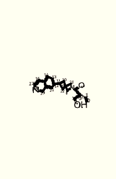 CC[C@H](CO)C(=O)N1CC2(CC(c3ccc4ccncc4c3)C2)C1